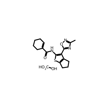 Cc1noc(-c2c(NC(=O)C3=CCCCC3)sc3c2CCC3)n1.O=C(O)O